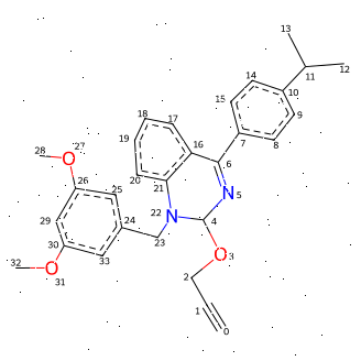 C#CCOC1N=C(c2ccc(C(C)C)cc2)c2ccccc2N1Cc1cc(OC)cc(OC)c1